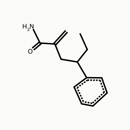 C=C(CC(CC)c1ccccc1)C(N)=O